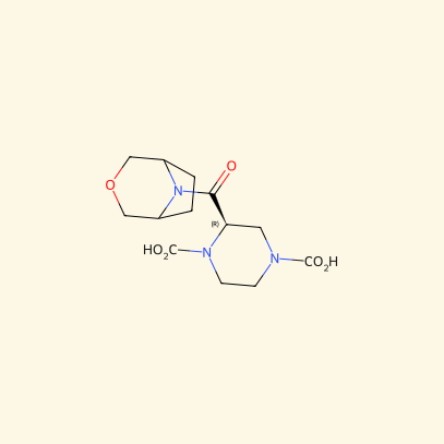 O=C(O)N1CCN(C(=O)O)[C@@H](C(=O)N2C3CCC2COC3)C1